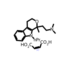 CCCn1c2c(c3ccccc31)CCOC2(C)CCN(C)C.O=C(O)/C=C\C(=O)O